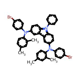 Cc1ccc(N(c2ccc(Br)cc2)c2ccc3c(c2)c2cc(N(c4ccc(Br)cc4)c4ccc(C)cc4C)ccc2n3-c2ccccc2)c(C)c1